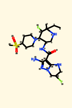 CCC1(C)NCC(NC(=O)c2c(N)nn3c2NCC(F)C3)C(N2CCC(S(C)(=O)=O)CC2)C1F